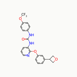 O=C(Nc1ccc(OC(F)(F)F)cc1)Nc1cccnc1Oc1cccc(C2COC2)c1